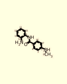 CBc1ccc(C(=O)Nc2ccccc2N)cc1